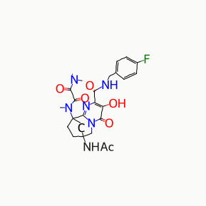 CC(=O)NC12CCC(N(C)C(=O)C(=O)N(C)C)(CC1)c1nc(C(=O)NCc3ccc(F)cc3)c(O)c(=O)n1C2